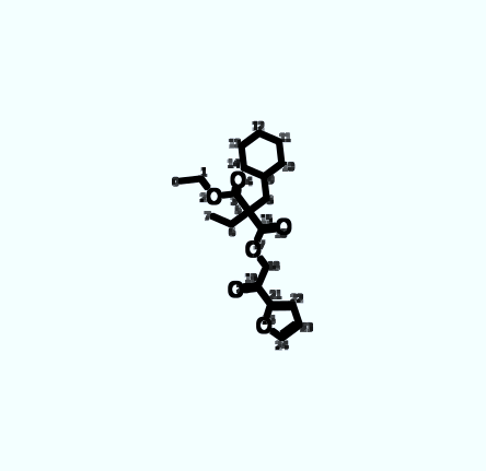 CCOC(=O)C(CC)(CC1CCCCC1)C(=O)OCC(=O)c1ccco1